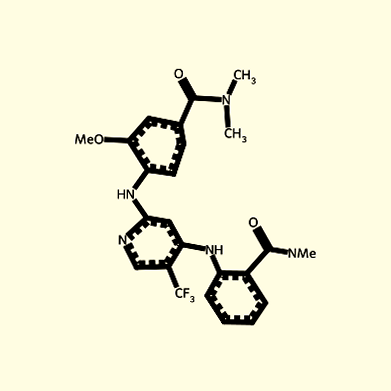 CNC(=O)c1ccccc1Nc1cc(Nc2ccc(C(=O)N(C)C)cc2OC)ncc1C(F)(F)F